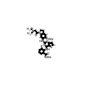 CNC(=O)c1cccc(F)c1Nc1nc(Nc2cc3c(cc2OC)CCN3C(=O)CN(C)C)nc2ccsc12